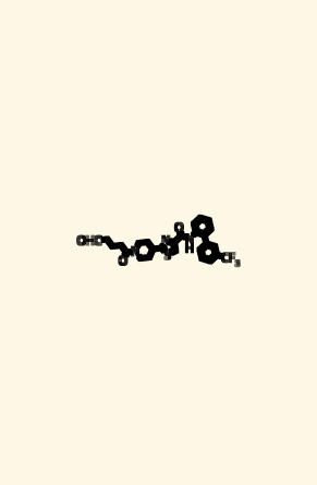 O=CCCCC(=O)N1CCC(c2nc(C(=O)Nc3ccccc3-c3cccc(C(F)(F)F)c3)cs2)CC1